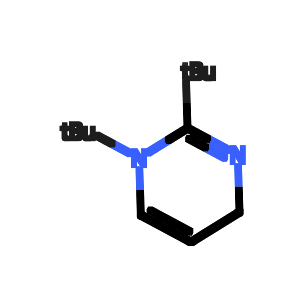 CC(C)(C)C1=NCC=CN1C(C)(C)C